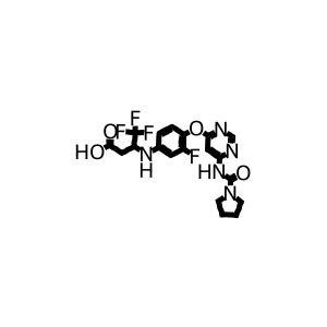 O=C(O)CC(Nc1ccc(Oc2cc(NC(=O)N3CCCC3)ncn2)c(F)c1)C(F)(F)F